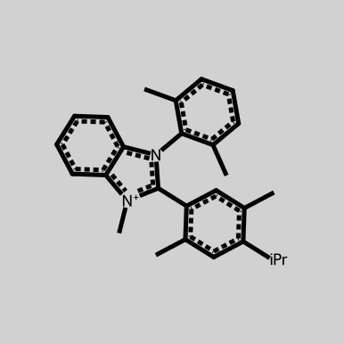 Cc1cc(C(C)C)c(C)cc1-c1n(-c2c(C)cccc2C)c2ccccc2[n+]1C